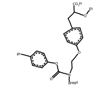 CCCCCCCN(CCOc1ccc(CC(OCC)C(=O)O)cc1)C(=O)Oc1ccc(C(C)C)cc1